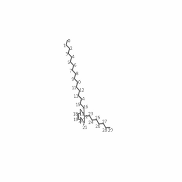 CCCCCCCCCCCCCCCCCN1C=CN(C)C1CCCCCCC